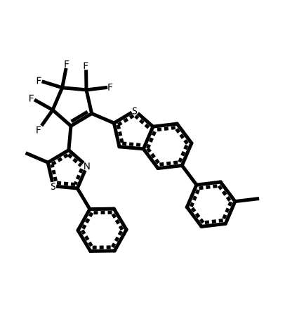 Cc1cccc(-c2ccc3sc(C4=C(c5nc(-c6ccccc6)sc5C)C(F)(F)C(F)(F)C4(F)F)cc3c2)c1